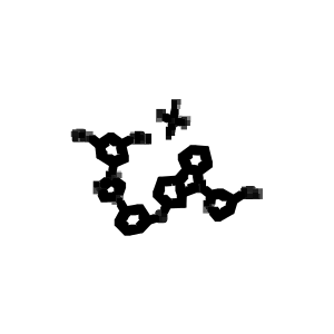 CC(C)(C)c1cc(-[n+]2cn(-c3cccc(Oc4ccc5c6ccccc6n(-c6cc(C(C)(C)C)ccn6)c5c4)c3)cn2)cc(C(C)(C)C)c1.F[B-](F)(F)F